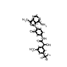 Cc1cc(C(O)C(=O)Nc2ccc(-n3nc(C)c4ncnc(N)c43)c(Cl)c2)cc(C(F)(F)F)c1